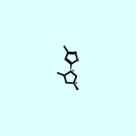 Cc1cc([C@@H]2C[C@@H](C)CN2C)on1